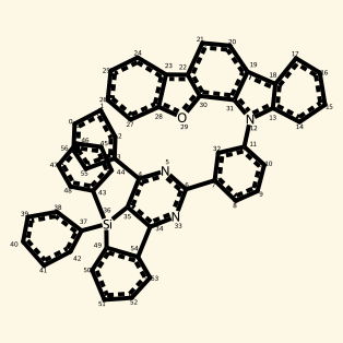 c1ccc(-c2nc(-c3cccc(-n4c5ccccc5c5ccc6c7ccccc7oc6c54)c3)nc3c2[Si](c2ccccc2)(c2ccccc2)c2ccccc2-3)cc1